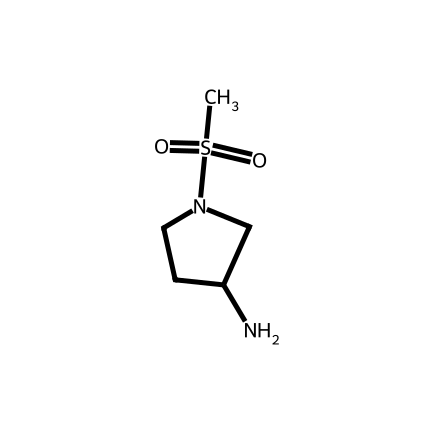 CS(=O)(=O)N1CCC(N)C1